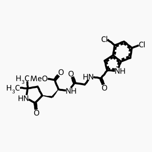 COC(=O)[C@H](C[C@@H]1CC(C)(C)NC1=O)NC(=O)CNC(=O)c1cc2c(Cl)cc(Cl)cc2[nH]1